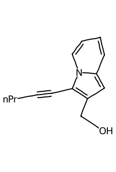 CCCC#Cc1c(CO)cc2ccccn12